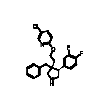 Fc1ccc([C@@H]2CNC[C@@]2(CCOc2ccc(Cl)cn2)Cc2ccccc2)cc1F